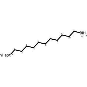 CCCCCCCCCCCCCCCCC[CH2][BiH2]